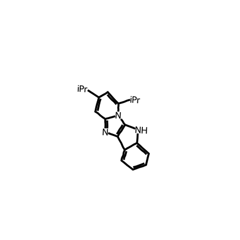 CC(C)c1cc(C(C)C)n2c(c1)nc1c3ccccc3[nH]c12